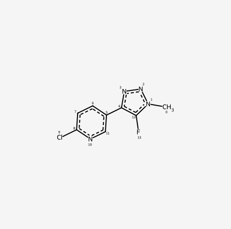 Cn1nnc(-c2ccc(Cl)nc2)c1F